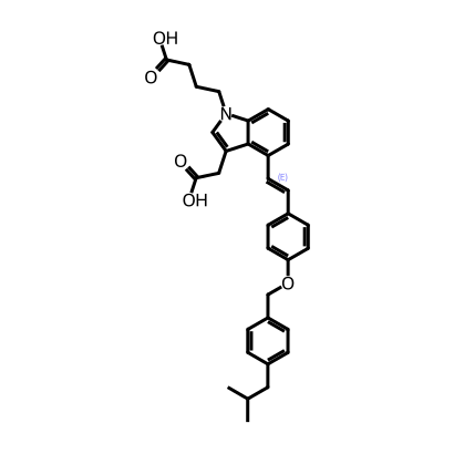 CC(C)Cc1ccc(COc2ccc(/C=C/c3cccc4c3c(CC(=O)O)cn4CCCC(=O)O)cc2)cc1